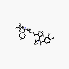 CCS(=O)(=O)/N=C(/NCCSc1nonc1/C(=N/O)Nc1ccc(F)c(Br)c1)N1CCOCC1